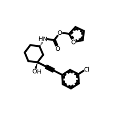 O=C(N[C@H]1CCC[C@@](O)(C#Cc2cccc(Cl)c2)C1)Oc1ccco1